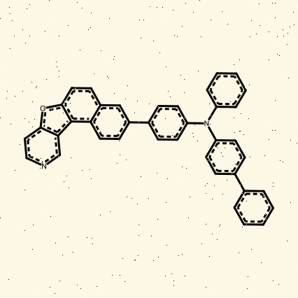 c1ccc(-c2ccc(N(c3ccccc3)c3ccc(-c4ccc5c(ccc6oc7ccncc7c65)c4)cc3)cc2)cc1